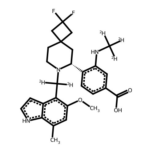 [2H]C([2H])([2H])Nc1cc(C(=O)O)ccc1[C@H]1CC2(CCN1C([2H])([2H])c1c(OC)cc(C)c3[nH]ccc13)CC(F)(F)C2